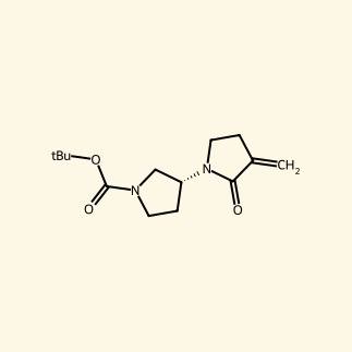 C=C1CCN([C@@H]2CCN(C(=O)OC(C)(C)C)C2)C1=O